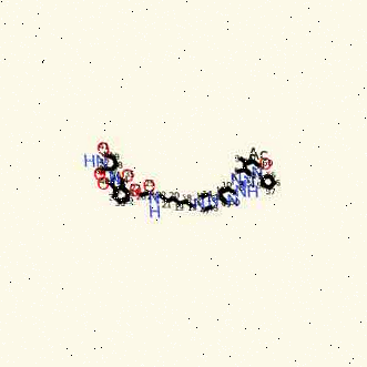 CC(=O)c1c(C)c2cnc(Nc3ccc(N4CCN(CCCCCCNC(=O)COc5cccc6c5C(=O)N(C5CCC(=O)NC5=O)C6=O)CC4)cn3)nc2n(C2CCCC2)c1=O